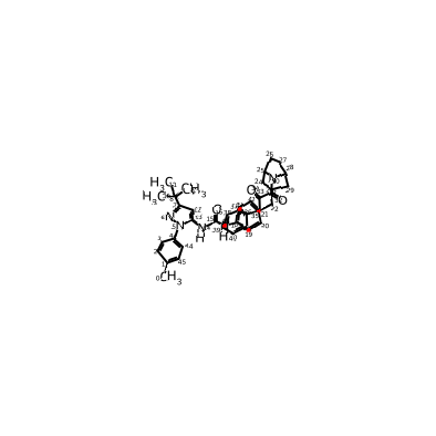 Cc1ccc(-n2nc(C(C)(C)C)cc2NC(=O)Nc2ccc(CC3CC4CCC(C3)N4C(=O)C(=O)Cc3ccccc3)cc2)cc1